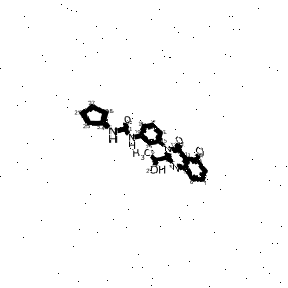 CC(O)c1nc2cccc(Cl)c2c(=O)n1-c1cccc(NC(=O)NC2CCCC2)c1